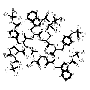 COC(=O)[C@H](CC(C)C)NC(=O)[C@@H](Cc1cn(C(=O)OC(C)(C)C)c2ccccc12)NC(=O)[C@H](Cc1ccc(OC(C)(C)C)cc1)NC(=O)[C@H](COC(C)(C)C)NC(=O)[C@H](Cc1cn(C(=O)OC(C)(C)C)c2ccccc12)NC(=O)[C@H](Cc1cn(C(=O)OC(C)(C)C)cn1)NC(=O)[C@@H]1CCC(=O)N1C(=O)OC(C)(C)C